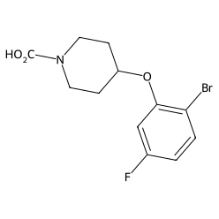 O=C(O)N1CCC(Oc2cc(F)ccc2Br)CC1